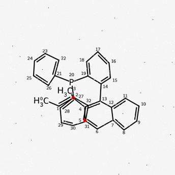 C/C=C(\C)c1ccc2ccccc2c1-c1ccccc1P(c1ccccc1)c1ccccc1